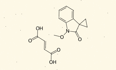 CON1C(=O)C2(CC2)c2ccccc21.O=C(O)/C=C/C(=O)O